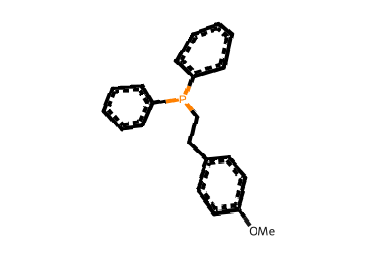 COc1ccc(CCP(c2ccccc2)c2ccccc2)cc1